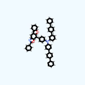 c1ccc(-c2ccc(-c3ccc(N(c4ccc(-c5c6oc(-c7ccccc7)nc6cc6c5oc5ccccc56)cc4)c4cccc(-c5ccc(-c6ccccc6)cc5)c4)cc3)cc2)cc1